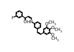 COc1cc(/C=C\c2cccc(N/C=C\C(=O)c3cccc(F)c3)c2)cc(OC)c1OC